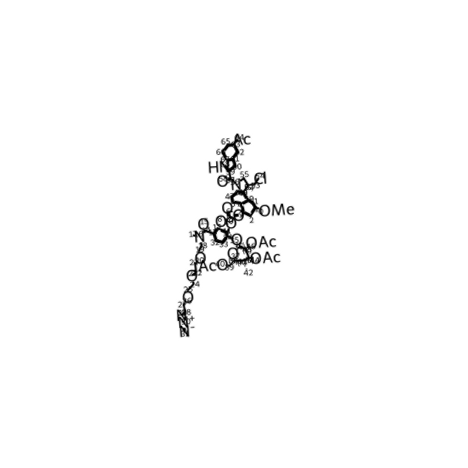 COc1ccc2c(OS(=O)(=O)Oc3cc(C(=O)N(C)CCOCCOCCOCCN=[N+]=[N-])ccc3O[C@@H]3O[C@H](COC(C)=O)[C@@H](C)[C@H](OC(C)=O)[C@H]3OC(C)=O)cc3c(c2c1)[C@H](CCl)CN3C(=O)c1cc2cc(C(C)=O)ccc2[nH]1